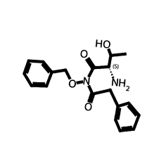 CC(O)[C@H](N)C(=O)N(OCc1ccccc1)C(=O)Cc1ccccc1